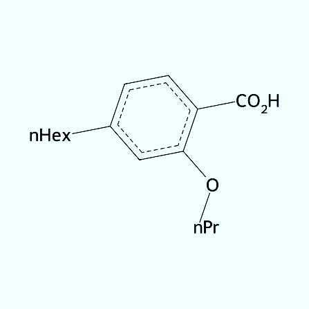 CCCCCCc1ccc(C(=O)O)c(OCCC)c1